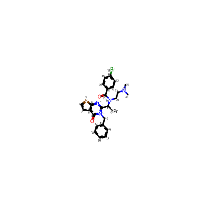 CC(C)C(c1nc2sccc2c(=O)n1Cc1ccccc1)N(CCN(C)C)C(=O)c1ccc(Br)cc1